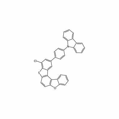 Clc1cc(-c2ccc(-n3c4ccccc4c4ccccc43)cc2)cc2c1sc1ccc3oc4ccccc4c3c12